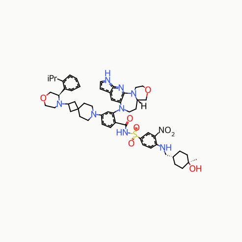 CC(C)c1ccccc1[C@@H]1COCCN1C1CC2(CCN(c3ccc(C(=O)NS(=O)(=O)c4ccc(NC[C@H]5CC[C@](C)(O)CC5)c([N+](=O)[O-])c4)c(N4CC[C@H]5COCCN5c5nc6[nH]ccc6cc54)c3)CC2)C1